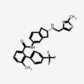 Cc1nc(CN[C@H]2Cc3ccc(NC(=O)c4cccc(C)c4-c4ccc(C(F)(F)F)cc4)cc3C2)cs1